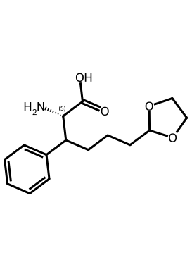 N[C@H](C(=O)O)C(CCCC1OCCO1)c1ccccc1